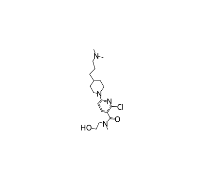 CN(C)CCCC1CCN(c2ccc(C(=O)N(C)CCO)c(Cl)n2)CC1